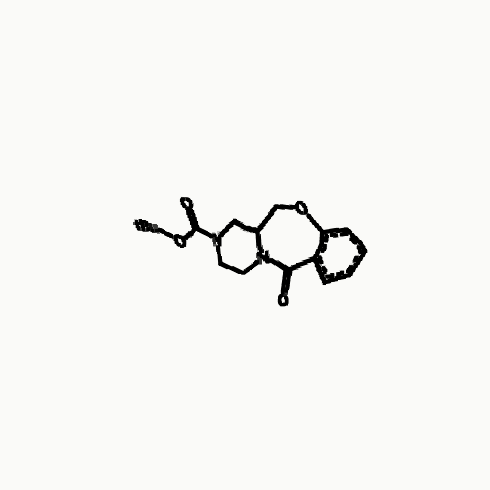 CC(C)(C)OC(=O)N1CCN2C(=O)c3ccccc3OCC2C1